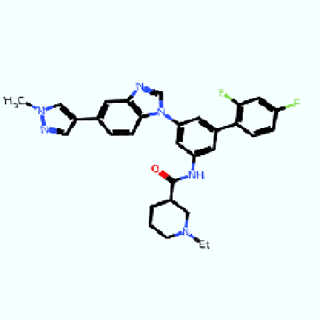 CCN1CCCC(C(=O)Nc2cc(-c3ccc(F)cc3F)cc(-n3cnc4cc(-c5cnn(C)c5)ccc43)c2)C1